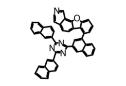 c1ccc2cc(-c3nc(-c4ccc5ccccc5c4)nc(-c4cc(-c5cccc6oc7c8cnccc8ccc7c56)c5ccccc5c4)n3)ccc2c1